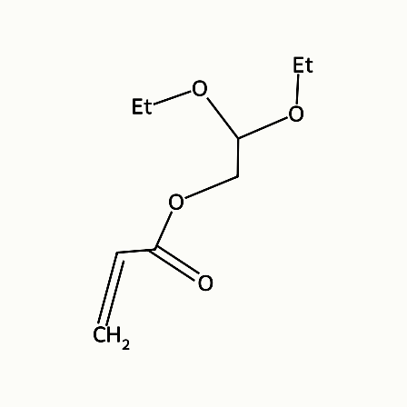 C=CC(=O)OCC(OCC)OCC